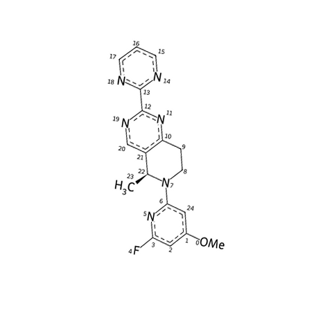 COc1cc(F)nc(N2CCc3nc(-c4ncccn4)ncc3[C@@H]2C)c1